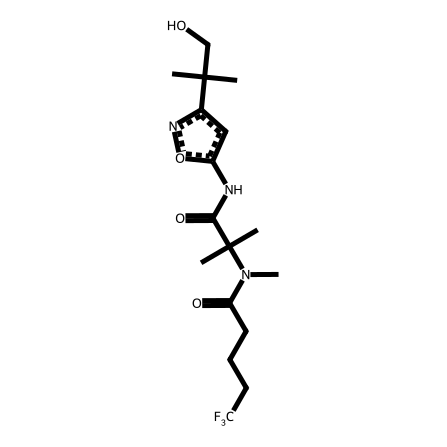 CN(C(=O)CCCC(F)(F)F)C(C)(C)C(=O)Nc1cc(C(C)(C)CO)no1